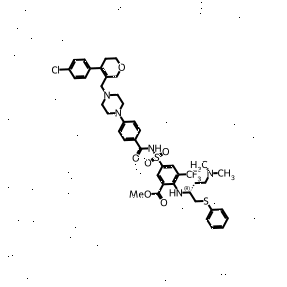 COC(=O)c1cc(S(=O)(=O)NC(=O)c2ccc(N3CCN(CC4=C(c5ccc(Cl)cc5)CCOC4)CC3)cc2)cc(C(F)(F)F)c1N[C@H](CCN(C)C)CSc1ccccc1